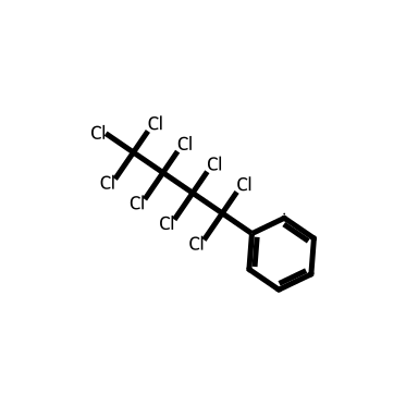 ClC(Cl)(Cl)C(Cl)(Cl)C(Cl)(Cl)C(Cl)(Cl)c1[c]cccc1